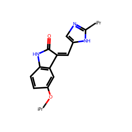 CC(C)Oc1ccc2c(c1)C(=Cc1cnc(C(C)C)[nH]1)C(=O)N2